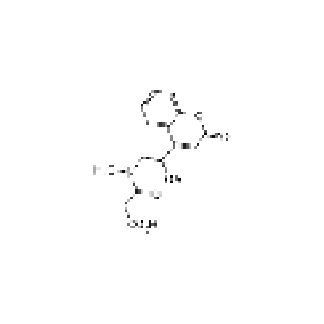 CC(=O)OC(CN(C)C(=O)CC(=O)O)c1cc(=O)oc2ccccc12